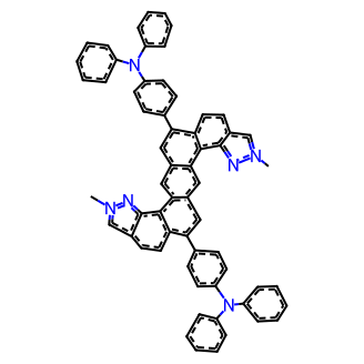 Cn1cc2ccc3c(-c4ccc(N(c5ccccc5)c5ccccc5)cc4)cc4cc5c(cc(-c6ccc(N(c7ccccc7)c7ccccc7)cc6)c6ccc7cn(C)nc7c65)cc4c3c2n1